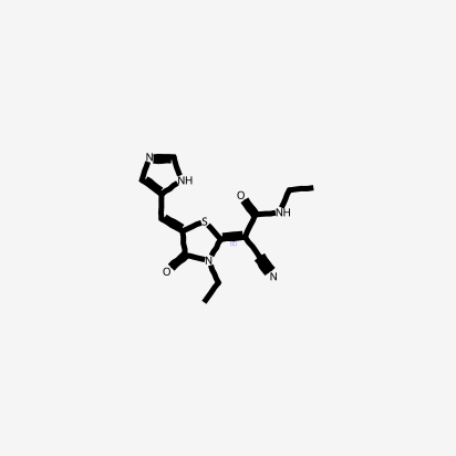 CCNC(=O)/C(C#N)=c1\sc(=Cc2cnc[nH]2)c(=O)n1CC